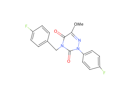 COc1nn(-c2ccc(F)cc2)c(=O)n(Cc2ccc(F)cc2)c1=O